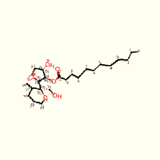 CCCCCCCCCCCC(=O)O[C@@H]1[C@@H](O)CO[C@@H]1[C@@]1(CO)OCCCC1C